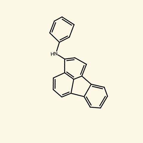 c1ccc(Nc2ccc3c4c(cccc24)-c2ccccc2-3)cc1